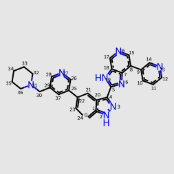 C=c1[nH]nc(-c2nc3c(-c4cccnc4)cncc3[nH]2)/c1=C/C(=C\C)c1cncc(CN2CCCCC2)c1